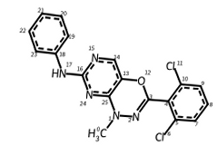 CN1N=C(c2c(Cl)cccc2Cl)Oc2cnc(Nc3ccccc3)nc21